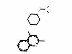 CCc1cc(N[C@H]2CC[C@H](CN(C)C)CC2)c2ccccc2n1